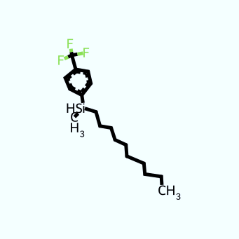 CCCCCCCCCC[SiH](C)c1ccc(C(F)(F)F)cc1